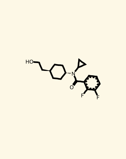 O=C(c1cccc(F)c1F)N(C1CC1)[C@H]1CC[C@H](CCO)CC1